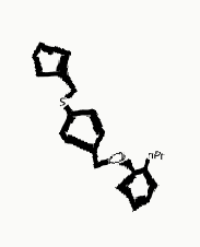 CCCc1ccccc1OCc1ccc(SCc2ccccc2)cc1